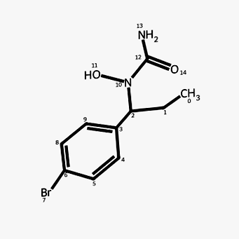 CCC(c1ccc(Br)cc1)N(O)C(N)=O